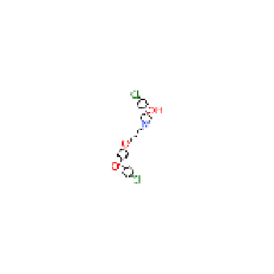 O=C(c1ccc(Cl)cc1)c1ccc(OCCCCCN2CCC(O)(c3ccc(Cl)cc3)CC2)cc1